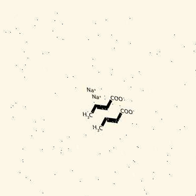 C/C=C/C(=O)[O-].C/C=C/C(=O)[O-].[Na+].[Na+]